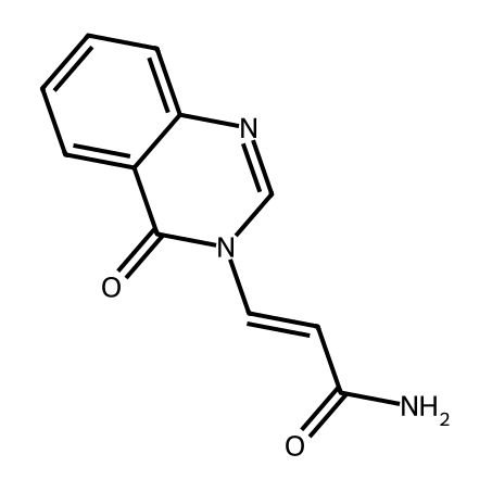 NC(=O)C=Cn1cnc2ccccc2c1=O